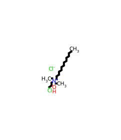 CCCCCCCCCCCCCC[N+](CC)(CC)CC(O)CCl.[Cl-]